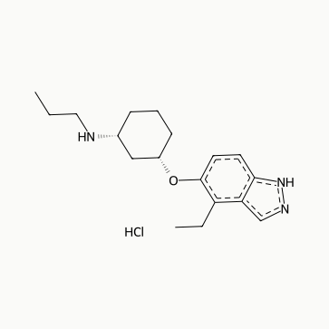 CCCN[C@@H]1CCC[C@H](Oc2ccc3[nH]ncc3c2CC)C1.Cl